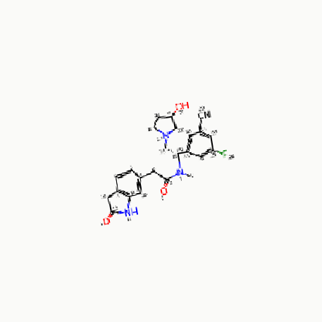 CN(C(=O)Cc1ccc2c(c1)NC(=O)C2)[C@H](CN1CCC(O)C1)c1cc(F)cc(C#N)c1